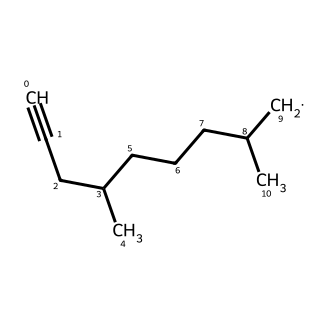 C#CCC(C)CCCC([CH2])C